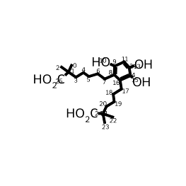 CC(C)(CCCCCc1c(O)cc(O)c(O)c1CCCCC(C)(C)C(=O)O)C(=O)O